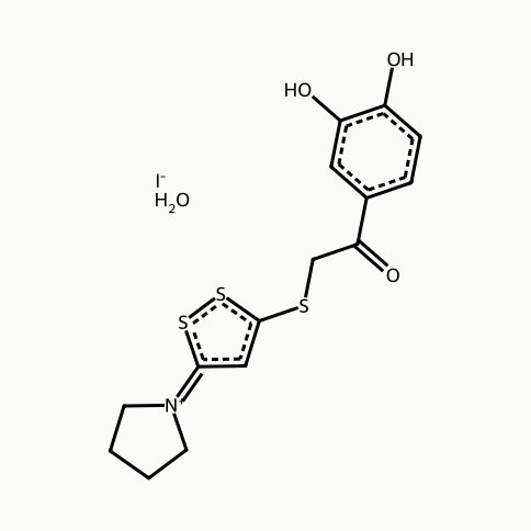 O.O=C(CSc1cc(=[N+]2CCCC2)ss1)c1ccc(O)c(O)c1.[I-]